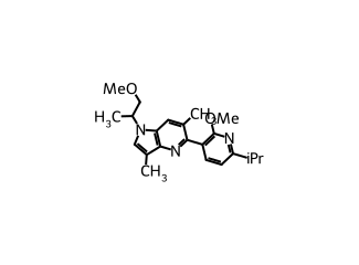 COCC(C)n1cc(C)c2nc(-c3ccc(C(C)C)nc3OC)c(C)cc21